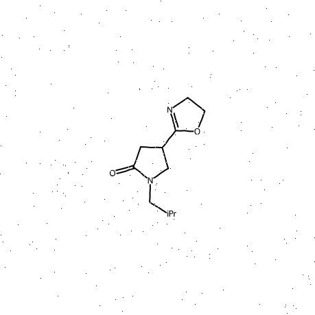 CC(C)CN1CC(C2=NCCO2)CC1=O